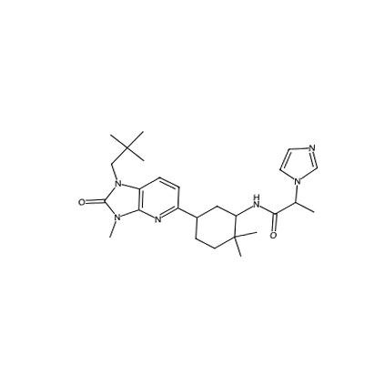 CC(C(=O)NC1CC(c2ccc3c(n2)n(C)c(=O)n3CC(C)(C)C)CCC1(C)C)n1ccnc1